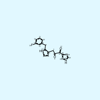 O=C(Cc1cc[nH]c1Cc1cccc(F)c1)C(=O)c1nc[nH]n1